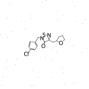 O=c1c(CC2CCCO2)nsn1Cc1ccc(Cl)cc1